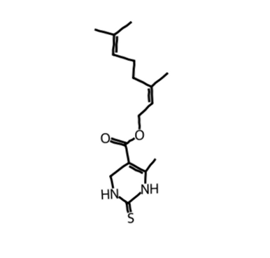 CC(C)=CCCC(C)=CCOC(=O)C1=C(C)NC(=S)NC1